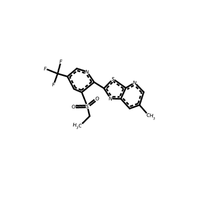 CCS(=O)(=O)c1cc(C(F)(F)F)cnc1-c1nc2cc(C)cnc2s1